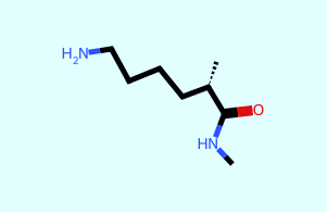 CNC(=O)[C@@H](C)CCCCN